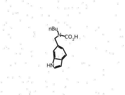 CCCCN(Cc1ccc2cc[nH]c2c1)C(=O)O